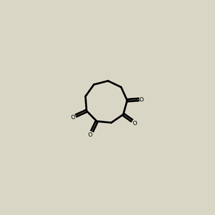 O=C1CCCCC(=O)C(=O)CC1=O